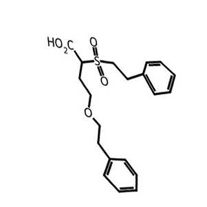 O=C(O)C(CCOCCc1ccccc1)S(=O)(=O)CCc1ccccc1